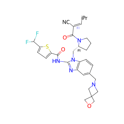 CC(C)/C=C(\C#N)C(=O)N1CCC[C@@H]1Cn1c(NC(=O)c2ccc(C(F)F)s2)nc2cc(CN3CC4(COC4)C3)ccc21